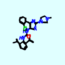 CC(C)c1cccc(C(C)C)c1NC(=O)Nc1cnc(N2CCN(C)CC2)nc1-c1ccccc1Cl